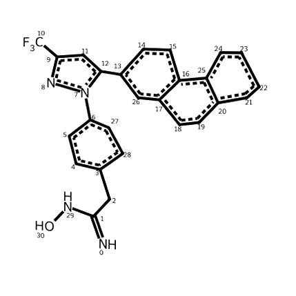 N=C(Cc1ccc(-n2nc(C(F)(F)F)cc2-c2ccc3c(ccc4ccccc43)c2)cc1)NO